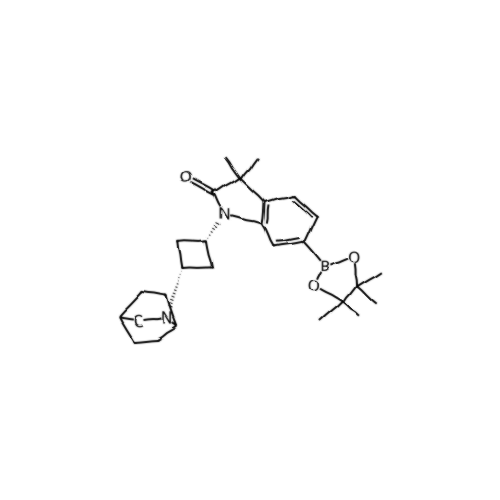 CC1(C)C(=O)N([C@H]2C[C@@H](N3CC4CCC3CC4)C2)c2cc(B3OC(C)(C)C(C)(C)O3)ccc21